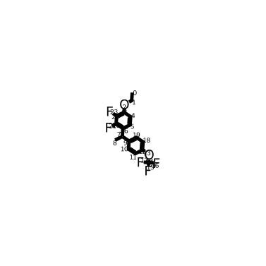 CCOc1ccc(C(C)c2ccc(OC(F)(F)F)cc2)c(F)c1F